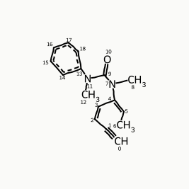 C#C/C=C\C(=C/C)N(C)C(=O)N(C)c1ccccc1